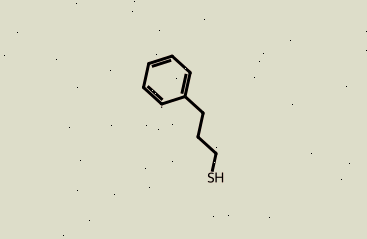 SCCCc1[c]cccc1